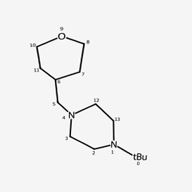 CC(C)(C)N1CCN(CC2CCOCC2)CC1